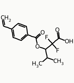 C=Cc1ccc(C(=O)OC(C(C)C)C(F)(F)C(=O)O)cc1